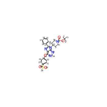 CC(C)(C)OC(=O)N1CCC(n2c(-c3ccccc3)nc3c(Oc4ccc(S(C)(=O)=O)cc4)ncnc32)CC1